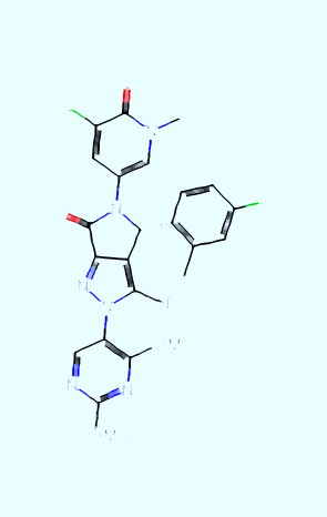 COc1ncc(-n2nc3c(c2C(C)C)[C@@H](c2ccc(Cl)cc2C)N(c2cc(Cl)c(=O)n(C)c2)C3=O)c(OC)n1